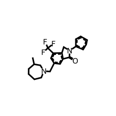 CC1CCCCN(Cc2cc3c(c(C(F)(F)F)c2)CN(c2ccccc2)C3=O)C1